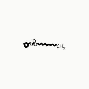 CCCCCCCCCCCCOC(=O)OCc1ccccc1